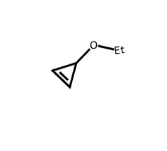 CCOC1C=C1